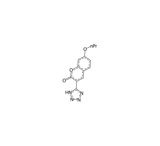 CCCOc1ccc2cc(-c3nnn[nH]3)c(=O)oc2c1